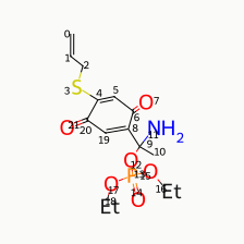 C=CCSC1=CC(=O)C(C(C)(N)OP(=O)(OCC)OCC)=CC1=O